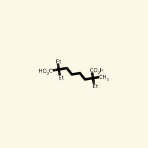 CCC(C)(CCCCC(CC)(CC)C(=O)O)C(=O)O